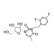 Cc1cn([C@@H]2O[C@H](CO)[C@H](O)C2O)c(=O)n(CCc2ccc(F)cc2F)c1=O